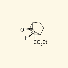 CCOC(=O)[C@@H]1C(=O)C2C=CC1CC2